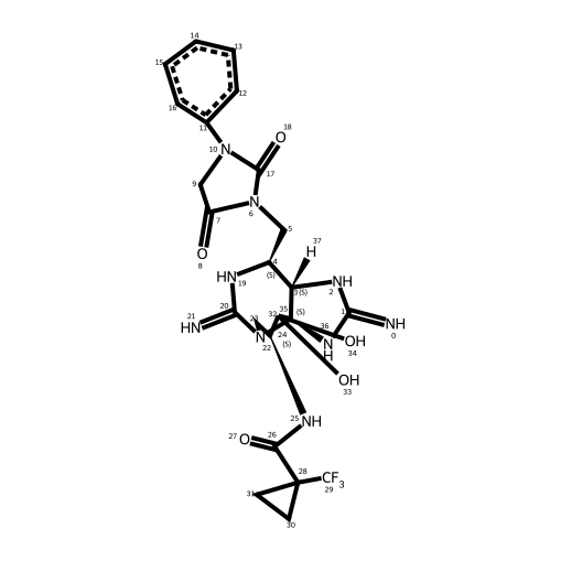 N=C1N[C@H]2[C@H](CN3C(=O)CN(c4ccccc4)C3=O)NC(=N)N3C[C@H](NC(=O)C4(C(F)(F)F)CC4)C(O)(O)[C@]23N1